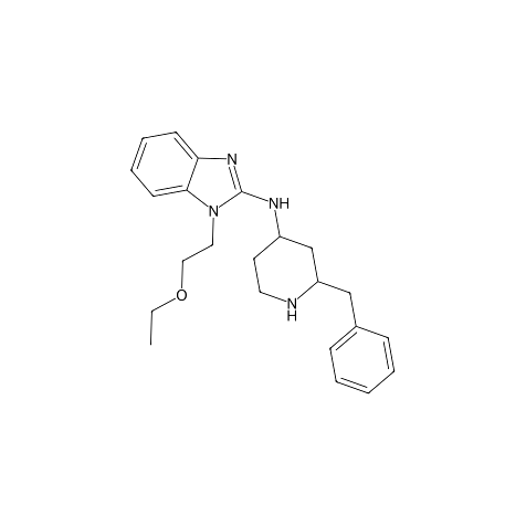 CCOCCn1c(NC2CCNC(Cc3ccccc3)C2)nc2ccccc21